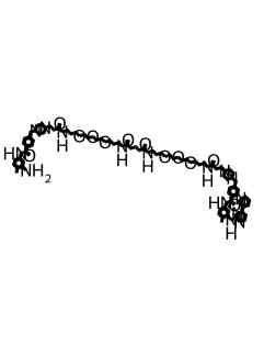 Cc1ccc(NC(=O)c2ccc(CN3CCN(CCC(=O)NCCCOCCOCCOCCCNC(=O)CCCC(=O)NCCCOCCOCCOCCCNC(=O)CCN4CCN(Cc5ccc(C(=O)Nc6ccc(C)c(Nc7nccc(-c8cccnc8)n7)c6)cc5)CC4)CC3)cc2)cc1N